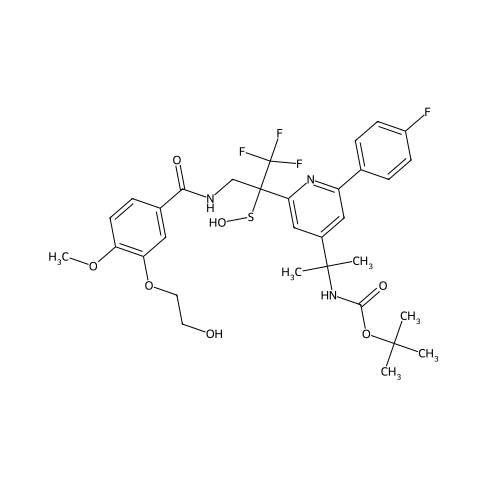 COc1ccc(C(=O)NCC(SO)(c2cc(C(C)(C)NC(=O)OC(C)(C)C)cc(-c3ccc(F)cc3)n2)C(F)(F)F)cc1OCCO